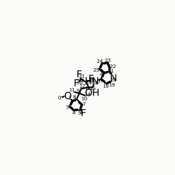 COc1ccc(F)cc1C(C)(C)CC(O)(CNc1ccnc2ccccc12)C(F)C(F)F